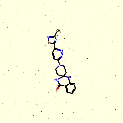 Cc1nsc(-c2ccc(N3CCC4(CC3)NC(=O)c3ccccc3N4)nn2)n1